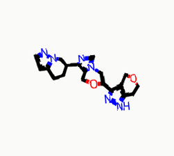 c1cc2n(n1)CC(c1ncn3c1COC(c1n[nH]c4c1COCC4)C3)CC2